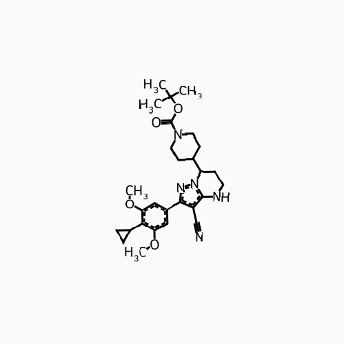 COc1cc(-c2nn3c(c2C#N)NCCC3C2CCN(C(=O)OC(C)(C)C)CC2)cc(OC)c1C1CC1